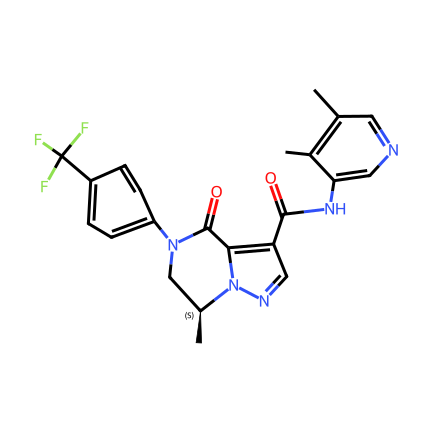 Cc1cncc(NC(=O)c2cnn3c2C(=O)N(c2ccc(C(F)(F)F)cc2)C[C@@H]3C)c1C